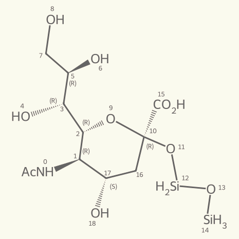 CC(=O)N[C@H]1[C@H]([C@H](O)[C@H](O)CO)O[C@](O[SiH2]O[SiH3])(C(=O)O)C[C@@H]1O